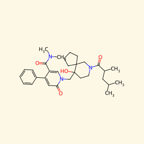 CC(C)CC(C)C(=O)N1CCC(O)(Cn2cc(C(=O)N(C)C)c(-c3ccccc3)cc2=O)C2(CCCC2)C1